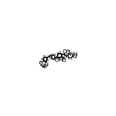 O=C1CCC(N2C(=O)c3ccc(C4(O)CCN(Cc5ccc6c(c5)OCCCO6)CC4)cc3C2=O)C(=O)N1